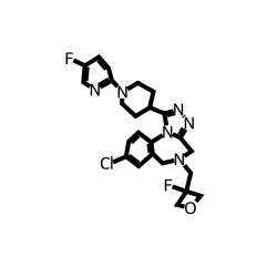 Fc1ccc(N2CCC(c3nnc4n3-c3ccc(Cl)cc3CN(CC3(F)COC3)C4)CC2)nc1